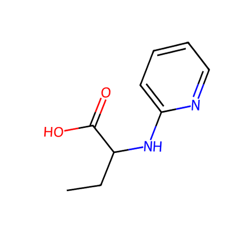 CCC(Nc1ccccn1)C(=O)O